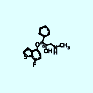 CNC[C@H](O)[C@H](Oc1ccc(F)c2sccc12)c1ccccc1